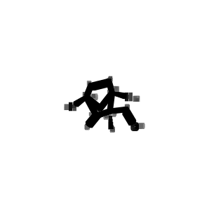 C=C1[C@@H]2C=C[C@@H](C2)[C@@]1(C)C=O